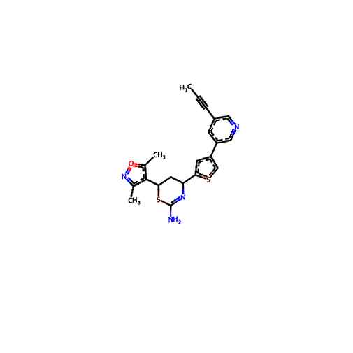 CC#Cc1cncc(-c2csc(C3CC(c4c(C)noc4C)SC(N)=N3)c2)c1